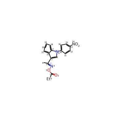 CCC(=O)O/N=C(\C)c1cn(-c2ccc([N+](=O)[O-])cc2)c2ccccc12